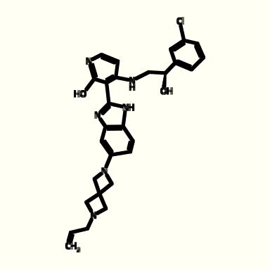 C=CCN1CC2(C1)CN(c1ccc3[nH]c(-c4c(NC[C@H](O)c5cccc(Cl)c5)ccnc4O)nc3c1)C2